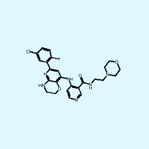 O=C(NCCN1CCOCC1)c1cnccc1Nc1cc(-c2cc(Cl)ccc2F)nc2c1OCCN2